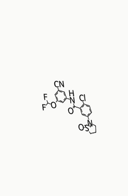 N#Cc1cc(NC(=O)c2cc(N3CCC[S+]3[O-])ccc2Cl)cc(OC(F)F)c1